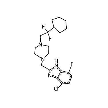 Fc1ccc(Cl)c2nc(CN3CCN(CC(F)(F)C4CCCCC4)CC3)[nH]c12